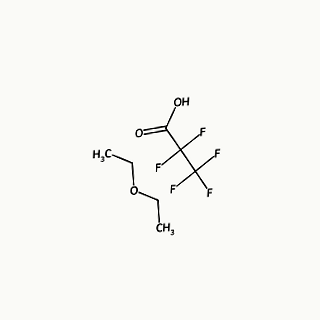 CCOCC.O=C(O)C(F)(F)C(F)(F)F